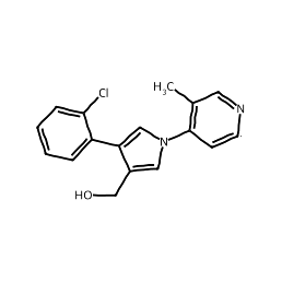 Cc1cn[c]cc1-n1cc(CO)c(-c2ccccc2Cl)c1